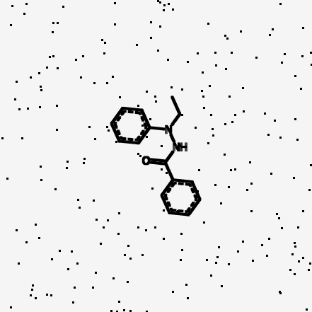 CCN(NC(=O)c1ccccc1)c1ccccc1